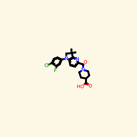 CC1(C)CN(c2ccc(Cl)c(F)c2)c2ccc(C(=O)N3CCC(C(=O)O)CC3)nc21